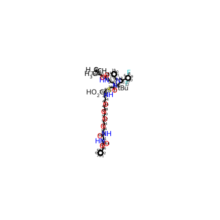 CC(C)(C)[C@H](c1cc(-c2cc(F)ccc2F)cn1Cc1ccccc1)N(CCCNC(=O)OCC[Si](C)(C)C)C(=O)CSC[C@H](NCCCOCCOCCOCCOCCNC(=O)CNC(=O)OCc1ccccc1)C(=O)O